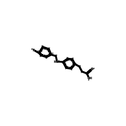 O=C(O)CCc1ccc(NCc2ccc(F)cc2)cc1